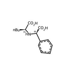 CCCC[C@H](N[C@@H](C(=O)O)c1ccccc1)C(=O)O